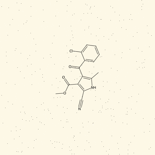 COC(=O)c1c(C#N)[nH]c(C)c1C(=O)c1ccccc1Cl